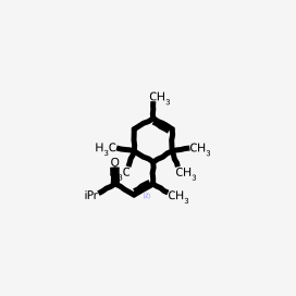 CC1=CC(C)(C)C(/C(C)=C\C(=O)C(C)C)C(C)(C)C1